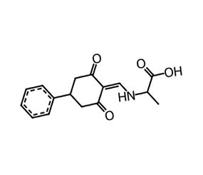 CC(NC=C1C(=O)CC(c2ccccc2)CC1=O)C(=O)O